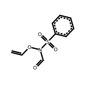 C=CON([C]=O)S(=O)(=O)c1ccccc1